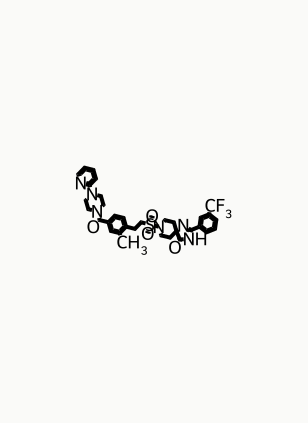 Cc1cc(C(=O)N2CCN(c3ccccn3)CC2)ccc1CCS(=O)(=O)N1CCC2(CC1)N=C(c1cccc(C(F)(F)F)c1)NC2=O